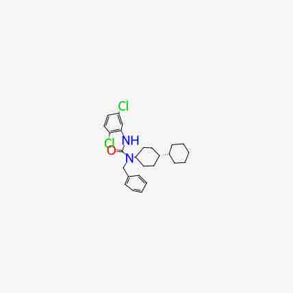 O=C(Nc1cc(Cl)ccc1Cl)N(Cc1ccccc1)[C@H]1CC[C@@H](C2CCCCC2)CC1